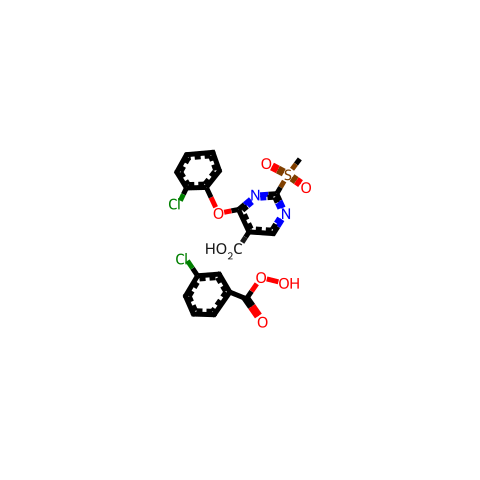 CS(=O)(=O)c1ncc(C(=O)O)c(Oc2ccccc2Cl)n1.O=C(OO)c1cccc(Cl)c1